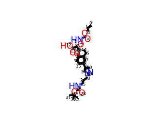 C=CCOC(=O)NO[C@](C)(C(=O)O)[C@H]1CCc2cc(-c3cnn(CCCNC(=O)OC(C)(C)C)c3)ccc2O1